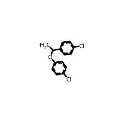 [CH2]C(Oc1ccc(Cl)cc1)c1ccc(Cl)cc1